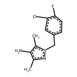 Cc1nn(Cc2ccc(F)c(Cl)c2)c(C)c1N